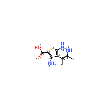 CC1=C(C)c2c(sc(C(=O)O)c2N)NN1